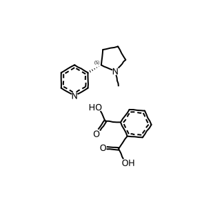 CN1CCC[C@H]1c1cccnc1.O=C(O)c1ccccc1C(=O)O